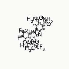 COc1c([C@H]2[C@H](c3nc4cc(C(N)=O)c(C(N)=O)cc4[nH]3)O[C@@](C)(C(F)(F)F)[C@H]2C)ccc(F)c1F